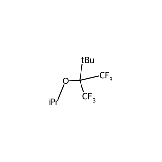 CC(C)OC(C(C)(C)C)(C(F)(F)F)C(F)(F)F